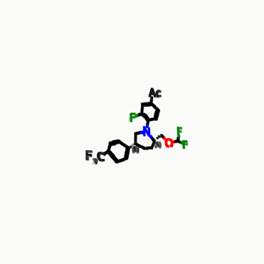 CC(=O)c1ccc(N2C[C@@H](c3ccc(C(F)(F)F)cc3)CC[C@H]2COC(F)F)c(F)c1